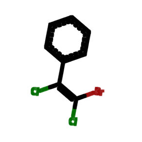 Cl/C(Br)=C(\Cl)c1ccccc1